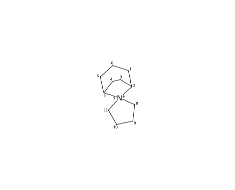 C1CC2CCC(C1)[N+]21CCCC1